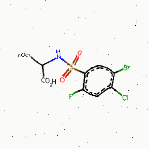 CCCCCCCCC(NS(=O)(=O)c1cc(Br)c(Cl)cc1F)C(=O)O